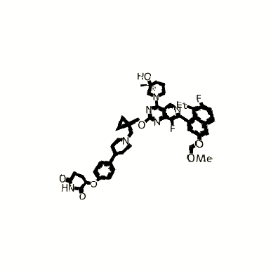 CCc1c(F)ccc2cc(OCOC)cc(-c3ncc4c(N5CCC[C@@](C)(O)C5)nc(OCC5(CN6CCC(c7ccc(OC8CCC(=O)NC8=O)cc7)CC6)CC5)nc4c3F)c12